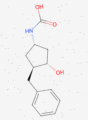 O=C(O)N[C@H]1C[C@H](Cc2ccccc2)[C@@H](O)C1